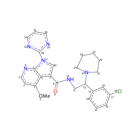 COc1ccnc2c1c(C(=O)NCC(c1cccc(Cl)c1)N1CCCCC1)cn2-c1ncccn1